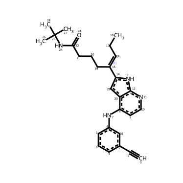 C#Cc1cccc(Nc2ccnc3[nH]c(/C(=C/CC)CCCC(=O)NC(C)(C)C)cc23)c1